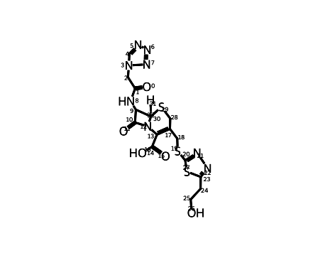 O=C(Cn1cnnn1)NC1C(=O)N2C(C(=O)O)=C(CSc3nnc(CCO)s3)CS[C@@H]12